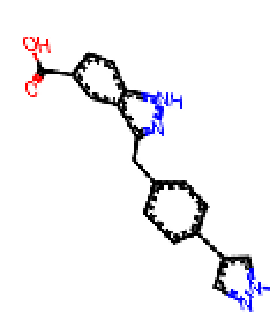 Cn1cc(-c2ccc(Cc3n[nH]c4ccc(C(=O)O)cc34)cc2)cn1